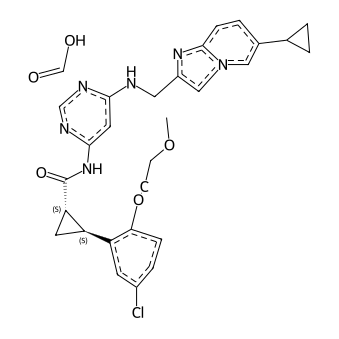 COCCOc1ccc(Cl)cc1[C@H]1C[C@@H]1C(=O)Nc1cc(NCc2cn3cc(C4CC4)ccc3n2)ncn1.O=CO